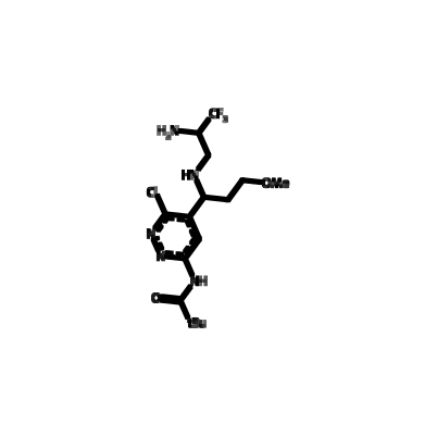 COCCC(NCC(N)C(F)(F)F)c1cc(NC(=O)C(C)(C)C)nnc1Cl